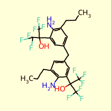 CCCc1cc(Cc2cc(CCC)c(N)c(C(O)(C(F)(F)F)C(F)(F)F)c2)cc(C(O)(C(F)(F)F)C(F)(F)F)c1N